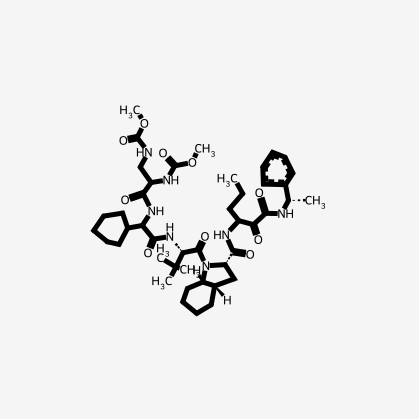 CCCC(NC(=O)[C@@H]1C[C@@H]2CCCC[C@@H]2N1C(=O)[C@@H](NC(=O)C(NC(=O)C(CNC(=O)OC)NC(=O)OC)C1CCCCC1)C(C)(C)C)C(=O)C(=O)N[C@@H](C)c1ccccc1